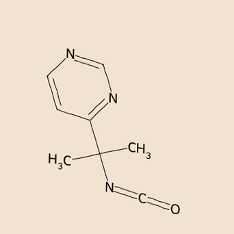 CC(C)(N=C=O)c1ccncn1